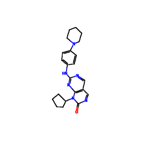 O=c1ncc2cnc(Nc3ccc(N4CCCCC4)cc3)nc2n1C1CCCC1